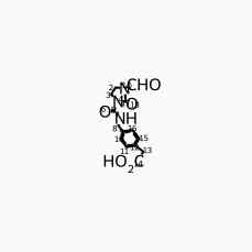 O=CN1CCN(C(=O)NCc2ccc(CC(=O)O)cc2)C1=O